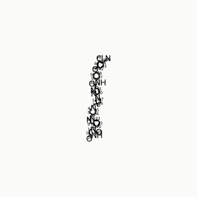 CC1(CN2CCC(n3ncc4c(N5CCC(=O)NC5=O)cccc43)CC2)CCN(c2ccc(C(=O)N[C@H]3CC[C@H](Oc4ccc(C#N)c(Cl)c4)CC3)nn2)C1